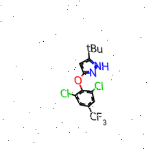 CC(C)(C)c1cc(Oc2c(Cl)cc(C(F)(F)F)cc2Cl)n[nH]1